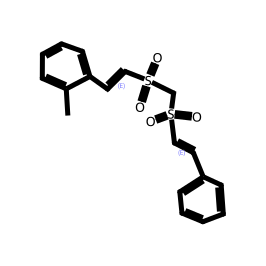 Cc1ccccc1/C=C/S(=O)(=O)CS(=O)(=O)/C=C/c1ccccc1